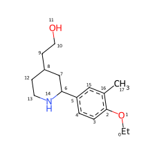 CCOc1ccc(C2CC(CCO)CCN2)cc1C